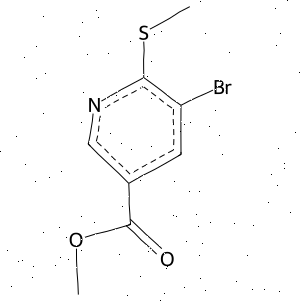 COC(=O)c1cnc(SC)c(Br)c1